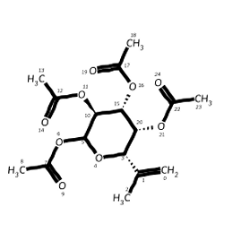 C=C(C)[C@@H]1OC(OC(C)=O)[C@@H](OC(C)=O)[C@H](OC(C)=O)[C@@H]1OC(C)=O